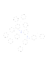 CC1(C)c2ccccc2-c2ccc(N(c3ccc(-c4ccccc4)cc3)c3cccc(N(c4cccc(C5(c6ccccc6)c6ccccc6-c6ccccc65)c4)c4cccc5c4-c4ccccc4C5(c4ccccc4)c4ccccc4)c3)cc21